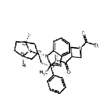 CCC(=O)N1CC(C(=O)N[C@@H](CCN2[C@@H]3CC[C@H]2C[C@H](n2c(C)nc4ccccc42)C3)c2ccccc2)C1